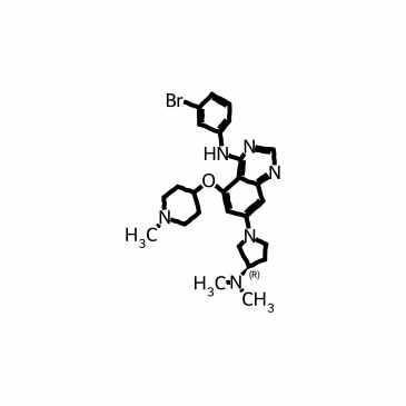 CN1CCC(Oc2cc(N3CC[C@@H](N(C)C)C3)cc3ncnc(Nc4cccc(Br)c4)c23)CC1